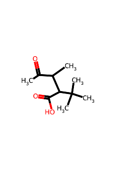 CC(=O)C(C)C(C(=O)O)C(C)(C)C